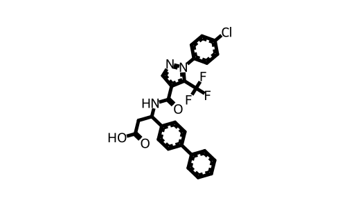 O=C(O)CC(NC(=O)c1cnn(-c2ccc(Cl)cc2)c1C(F)(F)F)c1ccc(-c2ccccc2)cc1